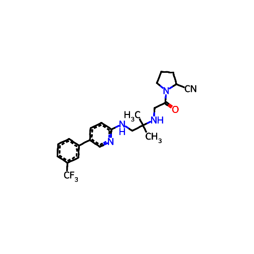 CC(C)(CNc1ccc(-c2cccc(C(F)(F)F)c2)cn1)NCC(=O)N1CCCC1C#N